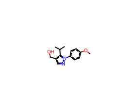 COc1ccc(-n2ncc(CO)c2C(C)C)cc1